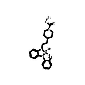 CC(C)(C)OC(=O)N1CCC(CCN2c3ccccc3N(c3ccccc3F)S2(O)O)CC1